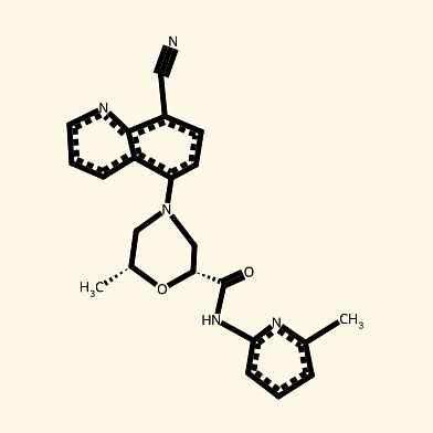 Cc1cccc(NC(=O)[C@H]2CN(c3ccc(C#N)c4ncccc34)C[C@@H](C)O2)n1